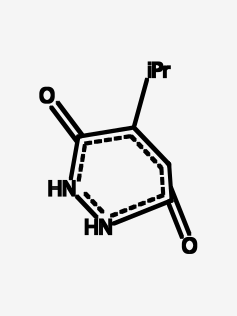 CC(C)c1cc(=O)[nH][nH]c1=O